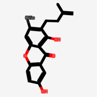 C=C(C)CCc1c(OC)cc2oc3ccc(O)cc3c(=O)c2c1O